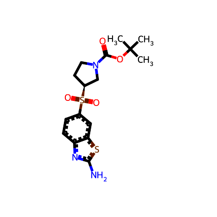 CC(C)(C)OC(=O)N1CC[C@H](S(=O)(=O)c2ccc3nc(N)sc3c2)C1